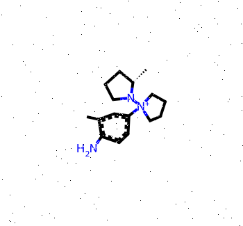 Cc1cc([N+]2(N3CCC[C@@H]3C)CCCC2)ccc1N